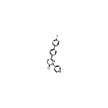 O=C1CCC(c2ccc(-c3ccc(F)cc3)cc2)=NN1c1ccncc1